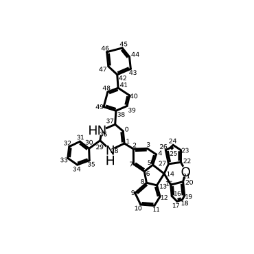 C1=C(c2ccc3c(c2)-c2ccccc2C32c3ccccc3Oc3ccccc32)NC(c2ccccc2)NC1c1ccc(-c2ccccc2)cc1